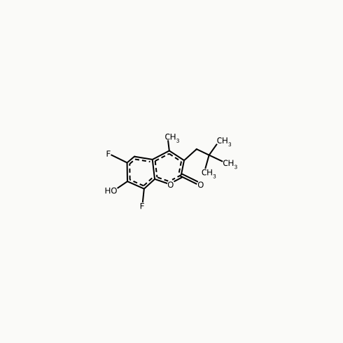 Cc1c(CC(C)(C)C)c(=O)oc2c(F)c(O)c(F)cc12